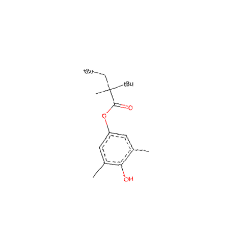 Cc1cc(OC(=O)C(C)(CC(C)(C)C)C(C)(C)C)cc(C)c1O